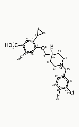 O=C(O)c1cc(C2CC2)c(OCC2(F)CCN(Cc3ccc(F)c(Cl)c3)CC2)cc1F